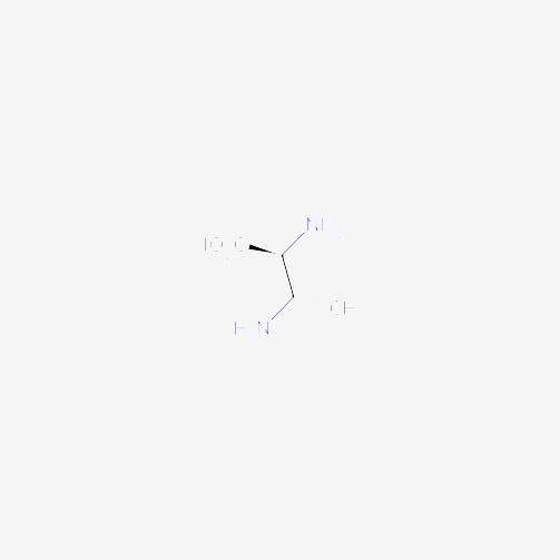 C[C@H](N)[C@H](N)C(=O)O